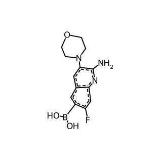 Nc1nc2cc(F)c(B(O)O)cc2cc1N1CCOCC1